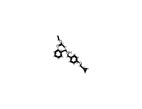 CCOC(=O)C[C@H](NCc1ccc(OCC2CC2)cc1)c1ccccc1